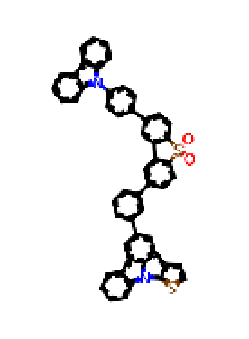 O=S1(=O)c2ccc(-c3ccc(-n4c5ccccc5c5ccccc54)cc3)cc2-c2cc(-c3cccc(-c4cc5c6ccccc6n6c7sccc7c(c4)c56)c3)ccc21